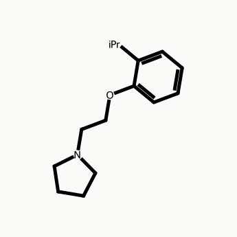 CC(C)c1ccccc1OCCN1CCCC1